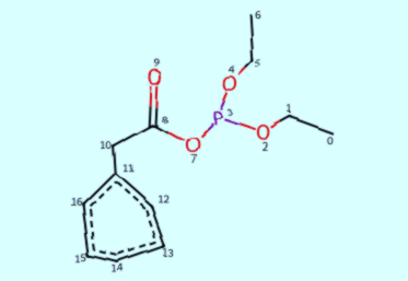 CCOP(OCC)OC(=O)Cc1ccccc1